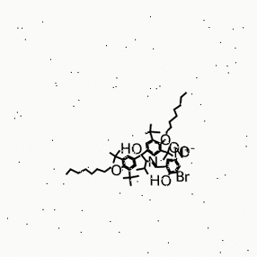 CCCCCCCCOc1c(C(C)(C)C)cc(C(O)(c2cc(C(C)(C)C)c(OCCCCCCCC)c(C(C)(C)C)c2)C(N=Cc2cc([N+](=O)[O-])cc(Br)c2O)C(C)C)cc1C(C)(C)C